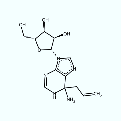 C=CCC1(N)NC=Nc2c1ncn2[C@@H]1O[C@H](CO)[C@@H](O)[C@H]1O